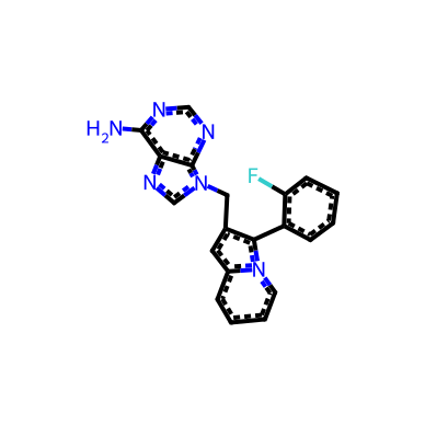 Nc1ncnc2c1ncn2Cc1cc2ccccn2c1-c1ccccc1F